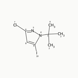 CC(C)(C)n1nc(Cl)cc1I